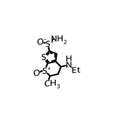 CCNC1CC(C)[S+]([O-])c2sc([S+](N)[O-])cc21